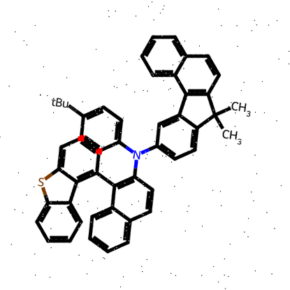 CC(C)(C)c1ccc(N(c2ccc3c(c2)-c2c(ccc4ccccc24)C3(C)C)c2ccc3ccccc3c2-c2cccc3sc4ccccc4c23)cc1